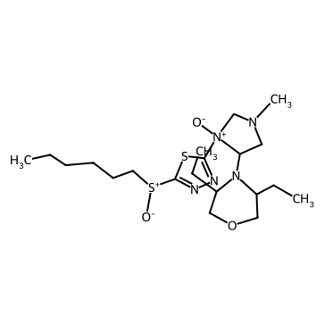 CCCCCC[S+]([O-])c1nnc([N+]2([O-])CN(C)CC2N2C(CC)COCC2CC)s1